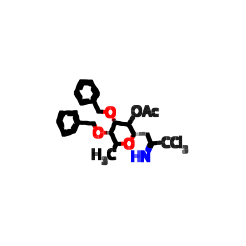 CC(=O)OC1[C@H](CC(=N)C(Cl)(Cl)Cl)OC(C)[C@H](OCc2ccccc2)[C@@H]1OCc1ccccc1